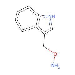 NOCc1c[nH]c2ccccc12